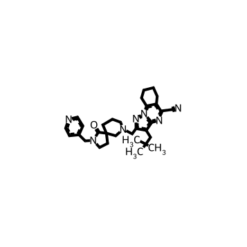 CC(C)(C)Cc1c(CN2CCCC3(CCN(Cc4ccncc4)C3=O)C2)nn2c3c(c(C#N)nc12)CCCC3